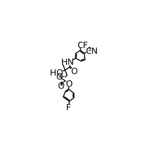 CC(O)(CS(=O)(=O)Oc1ccc(F)cc1)C(=O)Nc1ccc(C#N)c(C(F)(F)F)c1